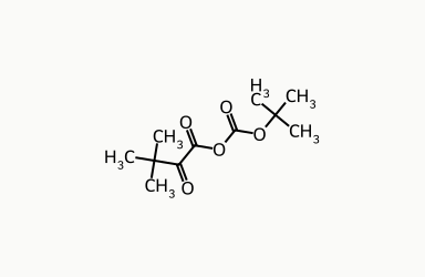 CC(C)(C)OC(=O)OC(=O)C(=O)C(C)(C)C